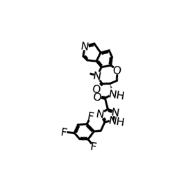 CN1C(=O)[C@@H](NC(=O)c2n[nH]c(Cc3c(F)cc(F)cc3F)n2)COc2ccc3cnccc3c21